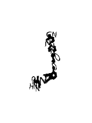 Cc1c(N2Cc3cccc(COCCCC(=O)N4CCN(c5ccc(C#N)cn5)CC4)c3C2)cn[nH]c1=O